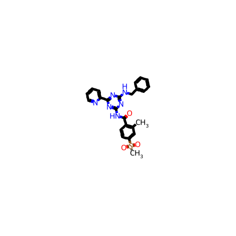 Cc1cc(S(C)(=O)=O)ccc1C(=O)Nc1nc(NCc2ccccc2)nc(-c2ccccn2)n1